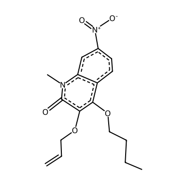 C=CCOc1c(OCCCC)c2ccc([N+](=O)[O-])cc2n(C)c1=O